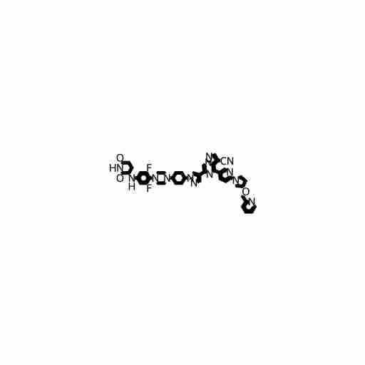 N#Cc1cnn2cc(-c3cnn(C4CCC(N5CCN(c6c(F)cc(NC7CCC(=O)NC7=O)cc6F)CC5)CC4)c3)nc(-c3ccc(N4CCC(OCc5ccccn5)C4)nc3)c12